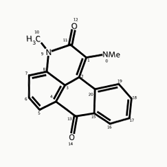 CNc1c2c3c(cccc3n(C)c1=O)C(=O)c1ccccc1-2